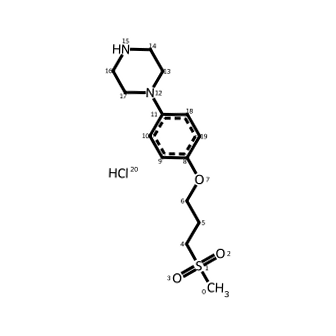 CS(=O)(=O)CCCOc1ccc(N2CCNCC2)cc1.Cl